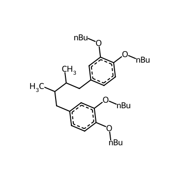 CCCCOc1ccc(CC(C)C(C)Cc2ccc(OCCCC)c(OCCCC)c2)cc1OCCCC